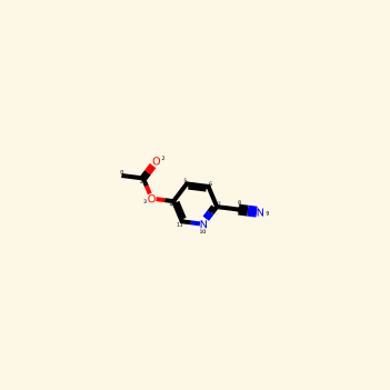 CC(=O)Oc1ccc(C#N)nc1